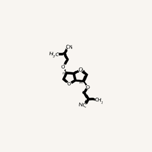 CC(C#N)CO[C@H]1COC2C1OC[C@H]2OCC(C)C#N